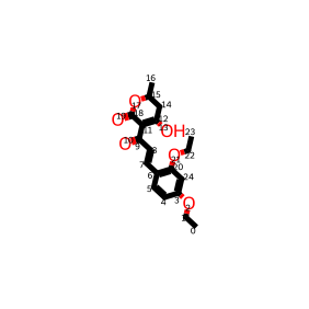 CCOc1ccc(/C=C/C(=O)C2=C(O)CC(C)OC2=O)c(OCC)c1